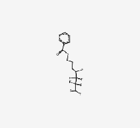 O=C(SCCCC(F)C(F)(F)C(F)(F)C(F)F)c1ccccc1